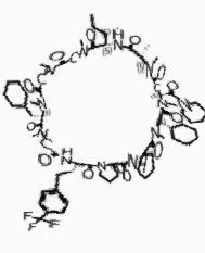 CC[C@H](C)[C@@H]1NC(=O)[C@H](C)N(C)C(=O)C[C@@H](C(=O)N2CCCCC2)N(C)C(=O)[C@H](C2CCCCC2)N(C)C(=O)C2(CCCC2)NC(=O)[C@@H]2CCCN2C(=O)[C@H](CCc2ccc(C(F)(F)F)cc2)NC(=O)CN(C)C(=O)[C@H](CC2CCCCC2)N(C)C(=O)CN(C)C(=O)CN(C)C1=O